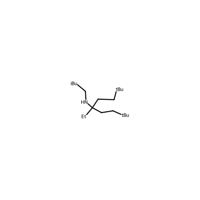 CCC(C)CNC(CC)(CCC(C)(C)C)CCC(C)(C)C